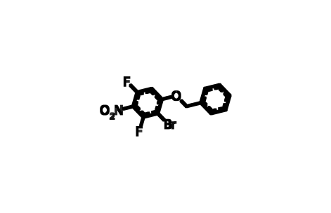 O=[N+]([O-])c1c(F)cc(OCc2ccccc2)c(Br)c1F